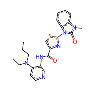 CCCN(CC)c1ccncc1NC(=O)c1csc(-n2c(=O)n(C)c3ccccc32)n1